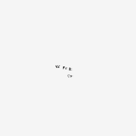 [B].[Co].[Fe].[W]